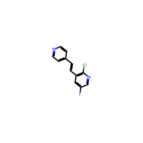 Clc1ncc(I)cc1C=Cc1ccncc1